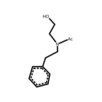 CC(=O)N(CCO)CCc1ccccc1